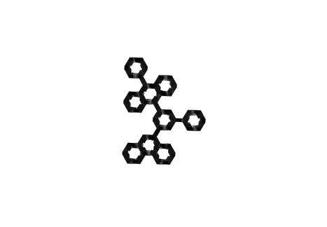 c1ccc(-c2cc(-c3c4ccccc4c(-c4ccccc4)c4ccccc34)cc(-c3cc4ccccc4c4ccccc34)c2)cc1